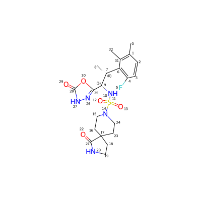 Cc1ccc(F)c([C@@H](C)[C@H](NS(=O)(=O)N2CCC3(CCNC3=O)CC2)c2n[nH]c(=O)o2)c1C